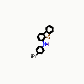 CC(C)c1ccc(N(I)c2cccc3c2sc2ccccc23)cc1